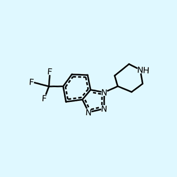 FC(F)(F)c1ccc2c(c1)nnn2C1CCNCC1